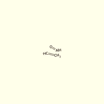 [CH]=C.[O]=[AlH]